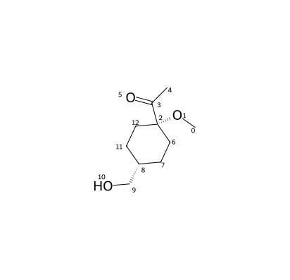 CO[C@]1(C(C)=O)CC[C@H](CO)CC1